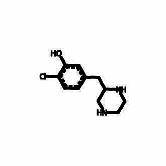 Oc1cc(CC2CNCCN2)ccc1Cl